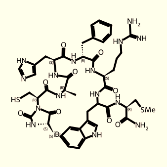 CC[C@H](C)[C@@H]1NC(=O)N([C@@H](CS)C(=O)N[C@H](C)C(=O)N[C@@H](Cc2cnc[nH]2)C(=O)N[C@H](Cc2ccccc2)C(=O)N[C@@H](CCCNC(=N)N)C(=O)NC(Cc2c[nH]c3ccccc23)C(=O)N[C@@H](CSC)C(N)=O)C1=O